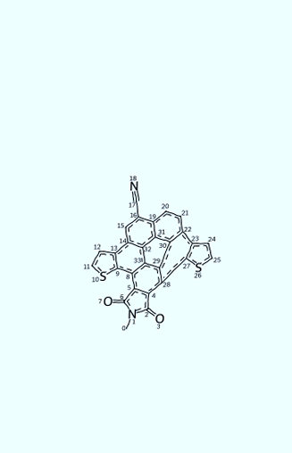 Cn1c(=O)c2c(c1=O)c1c3sccc3c3cc(C#N)c4ccc5c6ccsc6c2c2c5c4c3c12